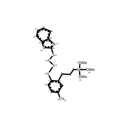 CO[Si](CCCc1cc(C)ccc1SSSSc1nc2ccccc2s1)(OC)OC